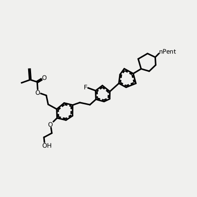 C=C(C)C(=O)OCCc1cc(CCc2ccc(-c3ccc(C4CCC(CCCCC)CC4)cc3)cc2F)ccc1OCCO